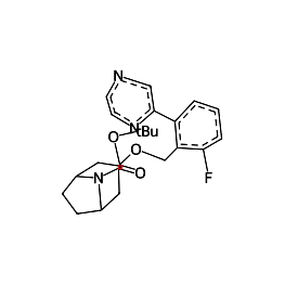 CC(C)(C)OC(=O)N1C2CCC1CC(OCc1c(F)cccc1-c1cnccn1)C2